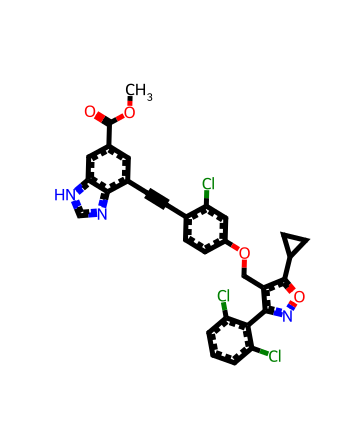 COC(=O)c1cc(C#Cc2ccc(OCc3c(-c4c(Cl)cccc4Cl)noc3C3CC3)cc2Cl)c2nc[nH]c2c1